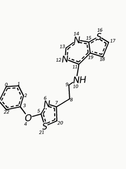 c1ccc(Oc2nc(CCNc3ncnc4sccc34)cs2)cc1